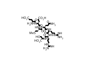 CSCC[C@H](NC(=O)[C@H](CCC(=O)O)NC(=O)[C@@H](N)CCC(=O)O)C(=O)N[C@@H](CCC(N)=O)C(=O)N[C@@H](CCCNC(=N)N)C(=O)N[C@@H](CCCNC(=N)N)C(=O)N[C@@H](CO)C(=O)O